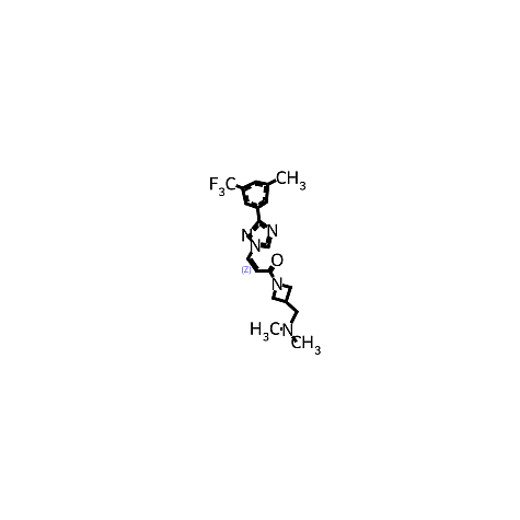 Cc1cc(-c2ncn(/C=C\C(=O)N3CC(CN(C)C)C3)n2)cc(C(F)(F)F)c1